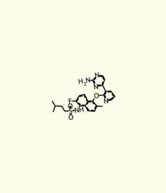 Cc1ccc2c(NS(=O)(=O)CCC(C)C)c(F)ccc2c1Oc1ncccc1-c1ccnc(N)n1